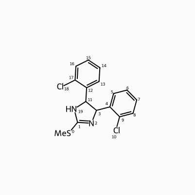 CSC1=NC(c2ccccc2Cl)C(c2ccccc2Cl)N1